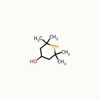 CC1(C)CC(O)CC(C)(C)P1